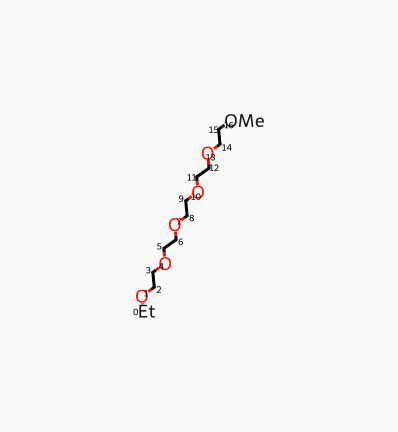 CCOCCOCCOCCOCCOCCOC